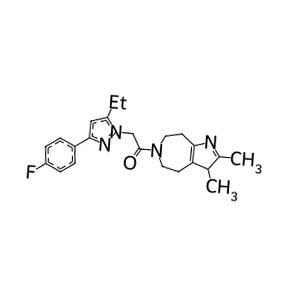 CCc1cc(-c2ccc(F)cc2)nn1CC(=O)N1CCC2=C(CC1)C(C)C(C)=N2